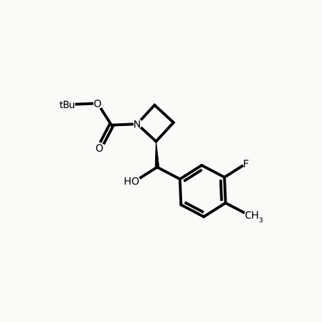 Cc1ccc(C(O)[C@@H]2CCN2C(=O)OC(C)(C)C)cc1F